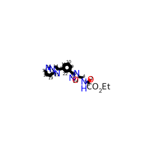 CCOC(=O)C(=O)NCc1nc(-c2cccc(-c3cn4ncccc4n3)c2)no1